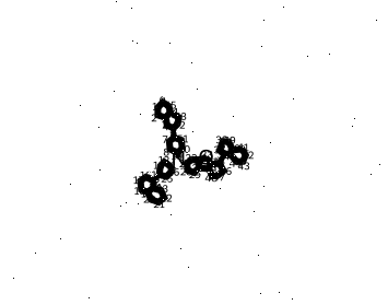 c1ccc2cc(-c3ccc(N(c4ccc(-c5cccc6ccccc56)cc4)c4ccc5c(c4)oc4c(-c6cccc7ccccc67)cccc45)cc3)ccc2c1